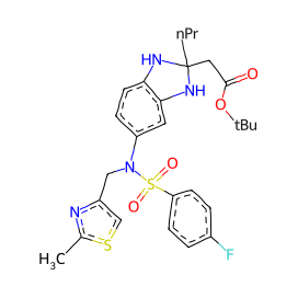 CCCC1(CC(=O)OC(C)(C)C)Nc2ccc(N(Cc3csc(C)n3)S(=O)(=O)c3ccc(F)cc3)cc2N1